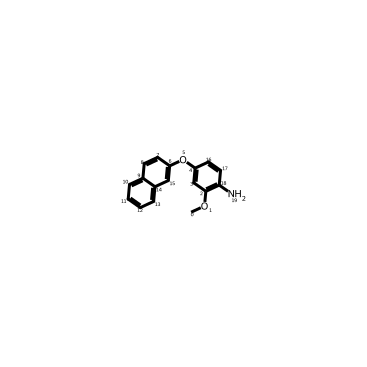 COc1cc(Oc2ccc3ccccc3c2)ccc1N